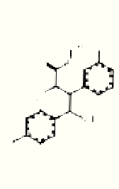 CC(C(=O)OC(C)(C)C)C(c1cccc(I)c1)C(N)c1ccc(Cl)cc1